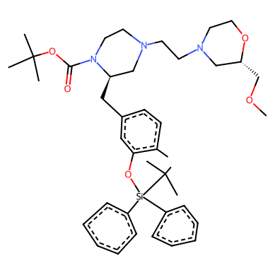 COC[C@@H]1CN(CCN2CCN(C(=O)OC(C)(C)C)[C@H](Cc3ccc(C)c(O[Si](c4ccccc4)(c4ccccc4)C(C)(C)C)c3)C2)CCO1